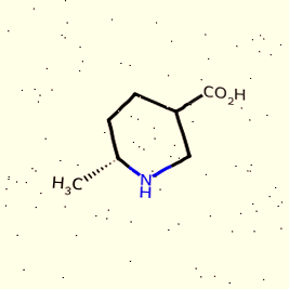 C[C@@H]1CCC(C(=O)O)CN1